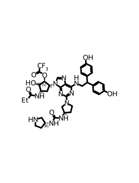 CCC(=O)N[C@H]1C[C@@H](n2cnc3c(NCC(c4ccc(O)cc4)c4ccc(O)cc4)nc(N4CC[C@@H](NC(=O)N[C@@H]5CCNC5)C4)nc32)[C@H](OC(=O)C(F)(F)F)[C@@H]1O